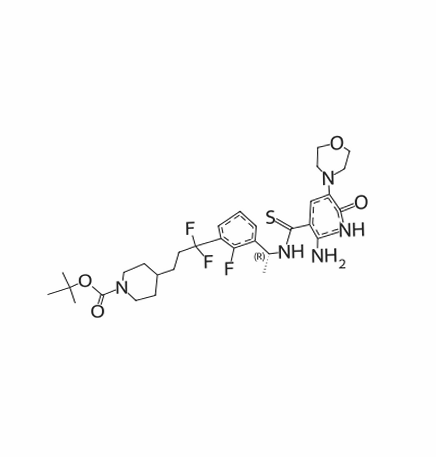 C[C@@H](NC(=S)c1cc(N2CCOCC2)c(=O)[nH]c1N)c1cccc(C(F)(F)CCC2CCN(C(=O)OC(C)(C)C)CC2)c1F